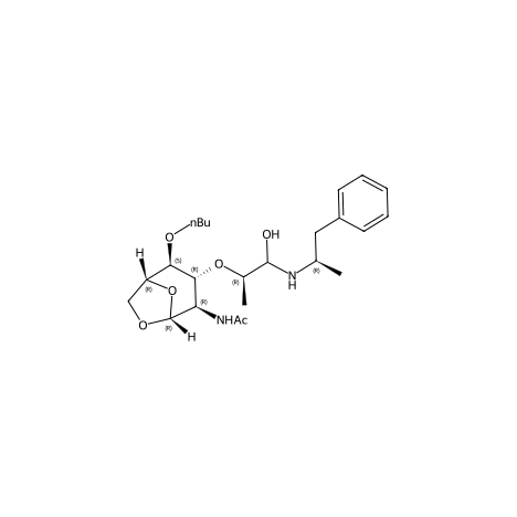 CCCCO[C@H]1[C@H](O[C@H](C)C(O)N[C@H](C)Cc2ccccc2)[C@@H](NC(C)=O)[C@@H]2OC[C@H]1O2